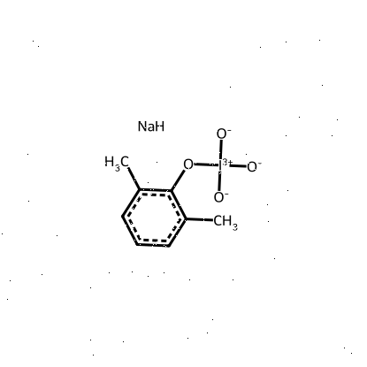 Cc1cccc(C)c1O[I+3]([O-])([O-])[O-].[NaH]